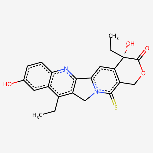 CCc1c2c(nc3ccc(O)cc13)-c1cc3c(c(=S)n1C2)COC(=O)[C@]3(O)CC